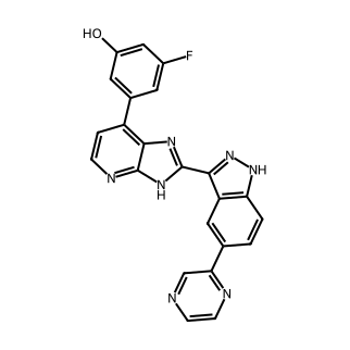 Oc1cc(F)cc(-c2ccnc3[nH]c(-c4n[nH]c5ccc(-c6cnccn6)cc45)nc23)c1